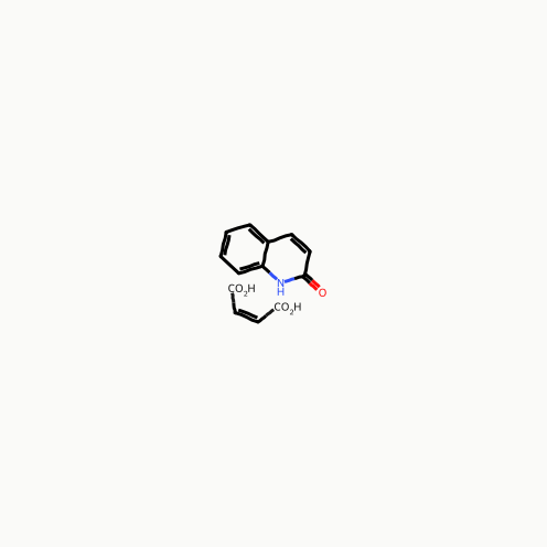 O=C(O)/C=C\C(=O)O.O=c1ccc2ccccc2[nH]1